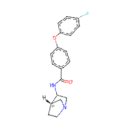 O=C(NC1CN2CC[C@H]1C2)c1ccc(Oc2ccc(F)cc2)cc1